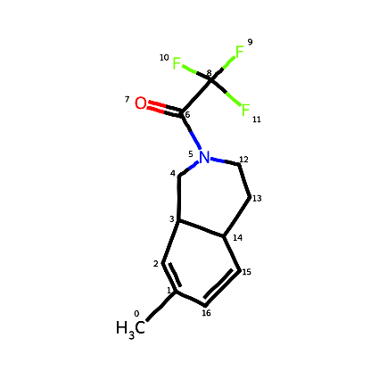 CC1=CC2CN(C(=O)C(F)(F)F)CCC2C=C1